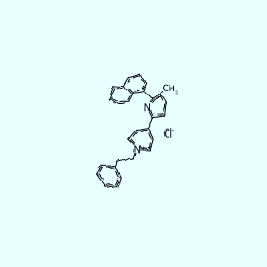 Cc1ccc(-c2cc[n+](CCc3ccccc3)cc2)nc1-c1cccc2ccccc12.[Cl-]